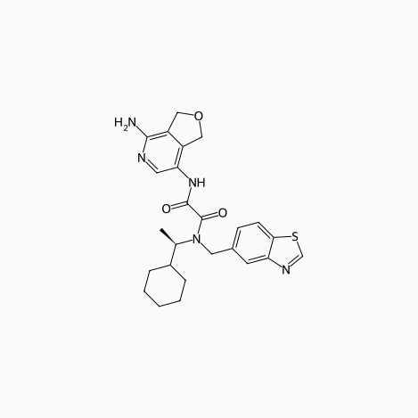 C[C@H](C1CCCCC1)N(Cc1ccc2scnc2c1)C(=O)C(=O)Nc1cnc(N)c2c1COC2